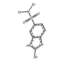 CCN(CC)S(=O)(=O)c1ccc2nc(S)[nH]c2c1